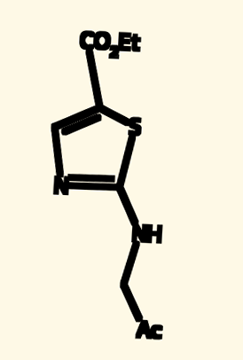 CCOC(=O)c1cnc(NCC(C)=O)s1